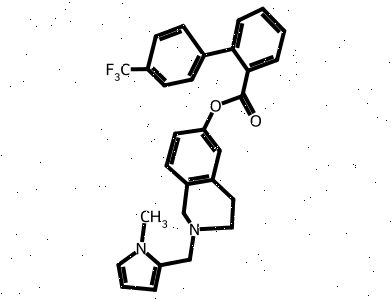 Cn1cccc1CN1CCc2cc(OC(=O)c3ccccc3-c3ccc(C(F)(F)F)cc3)ccc2C1